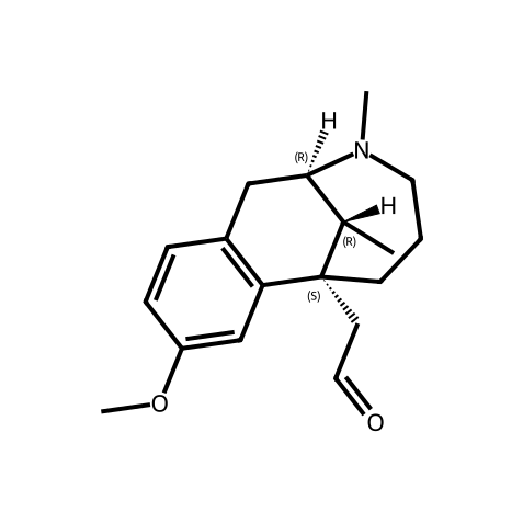 COc1ccc2c(c1)[C@]1(CC=O)CCCN(C)[C@H](C2)[C@@H]1C